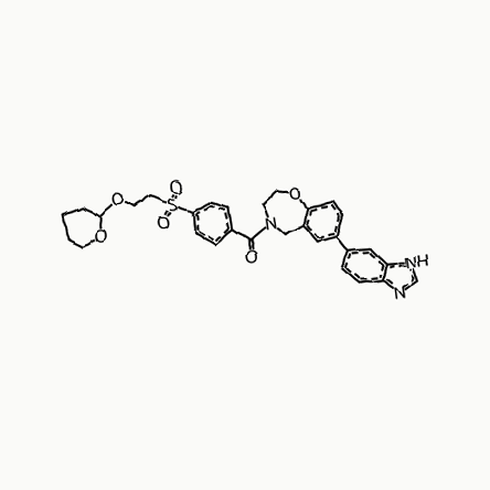 O=C(c1ccc(S(=O)(=O)CCOC2CCCCO2)cc1)N1CCOc2ccc(-c3ccc4nc[nH]c4c3)cc2C1